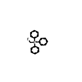 FC[P+](c1ccccc1)(c1ccccc1)c1ccccc1